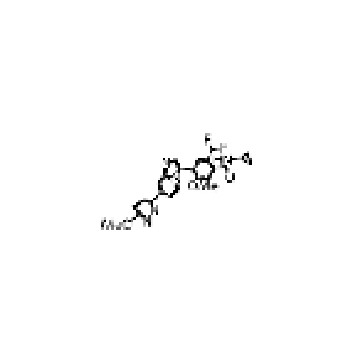 COc1ccc(-c2ccn3c(-c4cc(OC)c(C(=O)NC5CC5)c(C(F)F)c4)cnc3c2)nn1